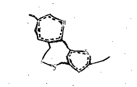 Cc1cnc2c(c1)SSc1cc(C)sc1-2